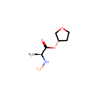 C[C@H](NP)C(=O)O[C@H]1CCOC1